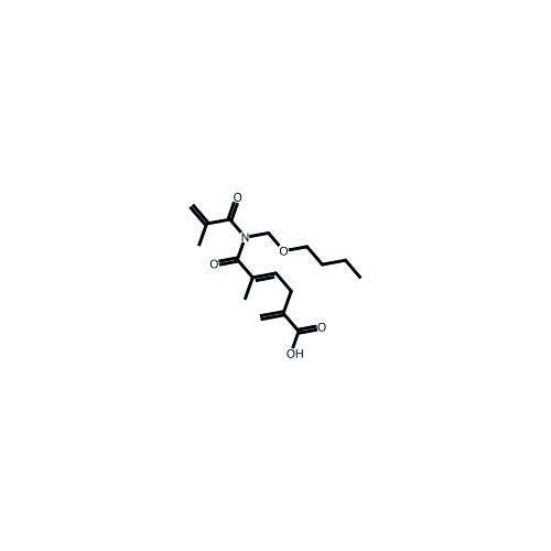 C=C(C)C(=O)N(COCCCC)C(=O)C(C)=CCC(=C)C(=O)O